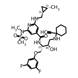 C#CC1(NC[C@@H](O)[C@H](COc2cc(F)cc(F)c2)NC(=O)c2cc(NC[C@H]3C[C@@H]3C)nc(N(C)S(C)(=O)=O)c2)CCCCC1